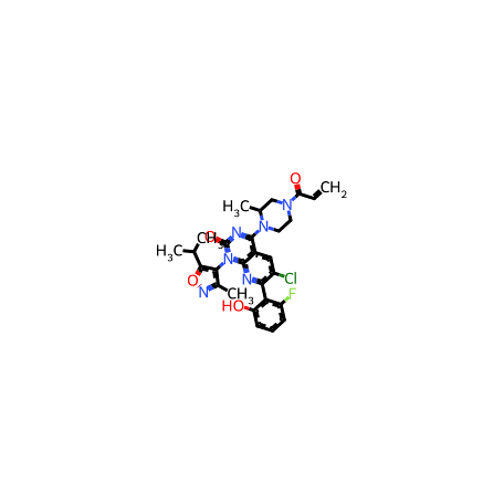 C=CC(=O)N1CCN(c2nc(=O)n(-c3c(C)noc3C(C)C)c3nc(-c4c(O)cccc4F)c(Cl)cc23)C(C)C1